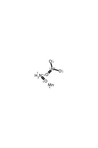 O=[N+]([O-])[O-].[Mn].[NH2+]=O